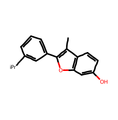 Cc1c(-c2cccc(C(C)C)c2)oc2cc(O)ccc12